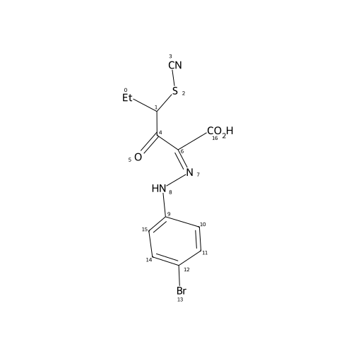 CCC(SC#N)C(=O)C(=NNc1ccc(Br)cc1)C(=O)O